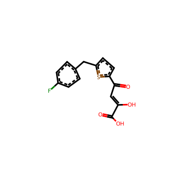 O=C(O)/C(O)=C/C(=O)c1ccc(Cc2ccc(F)cc2)s1